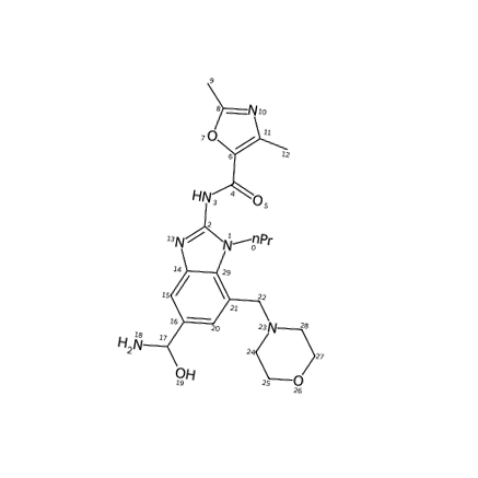 CCCn1c(NC(=O)c2oc(C)nc2C)nc2cc(C(N)O)cc(CN3CCOCC3)c21